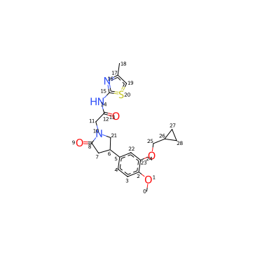 COc1ccc(C2CC(=O)N(CC(=O)Nc3nc(C)cs3)C2)cc1OCC1CC1